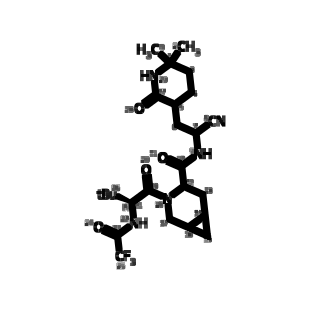 CC1(C)CCC(CC(C#N)NC(=O)C2CC3CC3CN2C(=O)[C@@H](NC(=O)C(F)(F)F)C(C)(C)C)C(=O)N1